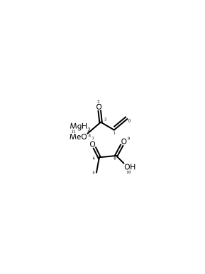 C=CC(=O)OC.CC(=O)C(=O)O.[MgH2]